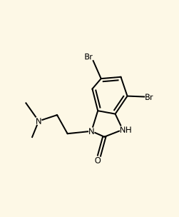 CN(C)CCn1c(=O)[nH]c2c(Br)cc(Br)cc21